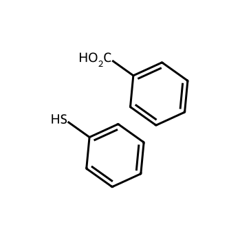 O=C(O)c1ccccc1.Sc1ccccc1